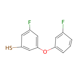 Fc1cccc(Oc2cc(F)cc(S)c2)c1